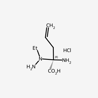 C=CC[C@](N)(C(=O)O)N(N)CC.Cl